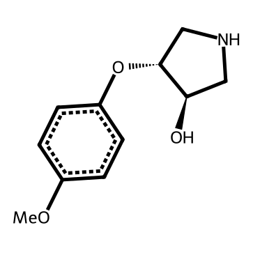 COc1ccc(O[C@@H]2CNC[C@H]2O)cc1